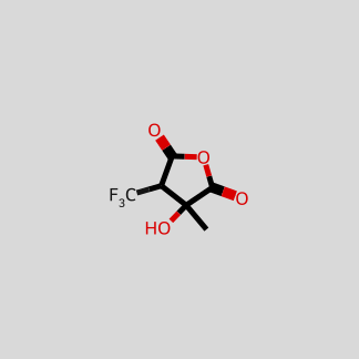 CC1(O)C(=O)OC(=O)C1C(F)(F)F